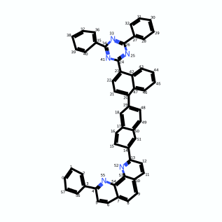 c1ccc(-c2ccc3ccc4ccc(-c5ccc6cc(-c7ccc(-c8nc(-c9ccccc9)nc(-c9ccccc9)n8)c8ccccc78)ccc6c5)nc4c3n2)cc1